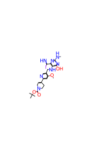 CNc1nc(O)c(NCc2cnc(C3=CCN(C(=O)OC(C)(C)C)CC3)cc2OC)c(C(=N)I)n1